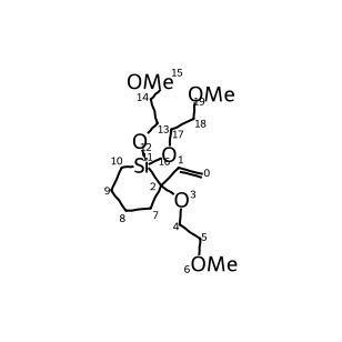 C=CC1(OCCOC)CCCC[Si]1(OCCOC)OCCOC